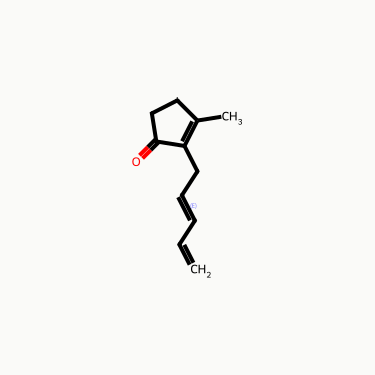 C=C/C=C/CC1=C(C)[CH]CC1=O